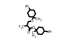 CC(C)C1CCC(C)(OCC(C(=O)OC2(C)CCC(C(C)C)CC2)C(F)(F)F)CC1